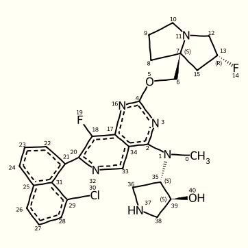 CN(c1nc(OC[C@@]23CCCN2C[C@H](F)C3)nc2c(F)c(-c3cccc4cccc(Cl)c34)ncc12)[C@H]1CNC[C@@H]1O